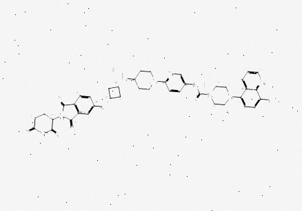 CC(C)N(C1CCN(c2ccc(NC(=O)N3C[C@H](C)N(c4ccc(C#N)c5ncccc45)C[C@H]3C)cn2)CC1)[C@H]1C[C@H](Oc2ccc3c(c2)C(=O)N(C2CCC(=O)NC2=O)C3=O)C1